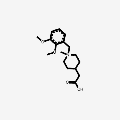 COc1cccc(C[N+]2(C)CCC(CC(=O)O)CC2)c1OC